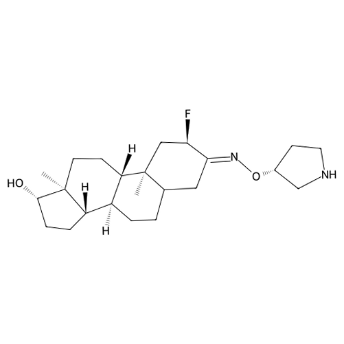 C[C@]12CC[C@H]3[C@@H](CCC4C/C(=N\O[C@@H]5CCNC5)[C@H](F)C[C@@]43C)[C@@H]1CC[C@@H]2O